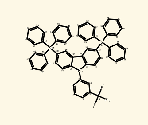 FC(F)(F)c1cccc(-n2c3ccc(S(c4ccccc4)(c4ccccc4)c4ccccc4)cc3c3cc(S(c4ccccc4)(c4ccccc4)c4ccccc4)ccc32)c1